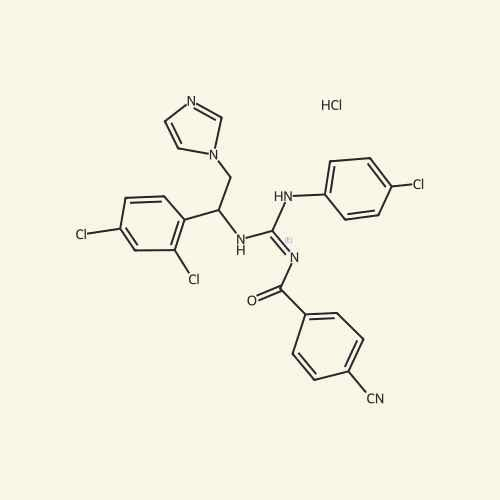 Cl.N#Cc1ccc(C(=O)/N=C(/Nc2ccc(Cl)cc2)NC(Cn2ccnc2)c2ccc(Cl)cc2Cl)cc1